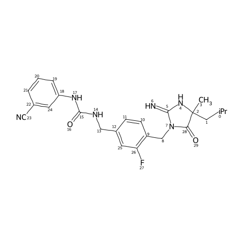 CC(C)CC1(C)NC(=N)N(Cc2ccc(CNC(=O)Nc3cccc(C#N)c3)cc2F)C1=O